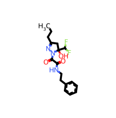 CCCC1=NN(C(=O)C(=O)NCCc2ccccc2)C(O)(C(F)F)C1